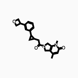 Cc1cc(=O)n(C)c2c1CN(C(=O)CC1CC1c1cccc(C3COC3)c1)C2